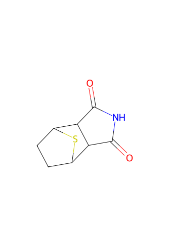 O=C1NC(=O)C2C3CCC(S3)C12